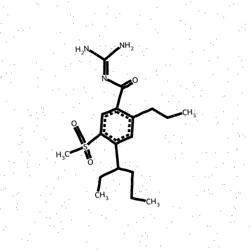 CCCc1cc(C(CC)CCC)c(S(C)(=O)=O)cc1C(=O)N=C(N)N